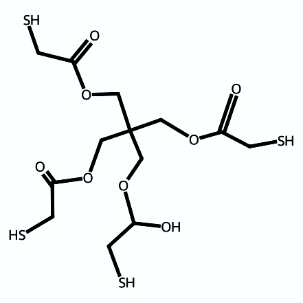 O=C(CS)OCC(COC(=O)CS)(COC(=O)CS)COC(O)CS